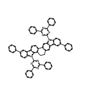 c1ccc(-c2ccc3c(c2)c2cc4c(cc2n3-c2nc(-c3ccccc3)nc(-c3ccccc3)n2)-c2ccc3c5cc(-c6ccccc6)ccc5n(-c5nc(-c6ccccc6)nc(-c6ccccc6)n5)c3c2CC4)cc1